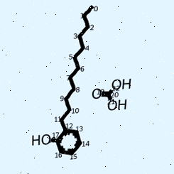 CCCCCCCCCCCCc1ccccc1O.O=C(O)O